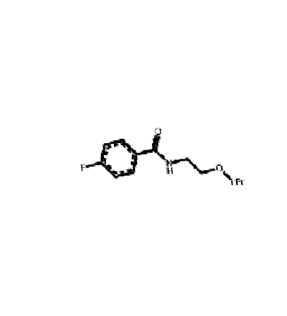 CCCOCCNC(=O)c1ccc(F)cc1